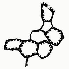 Brc1c2ccccc2c(C=C2c3ccccc3-c3ccccc32)c2ccccc12